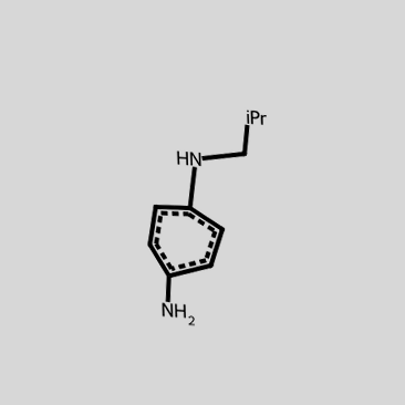 CC(C)CNc1ccc(N)cc1